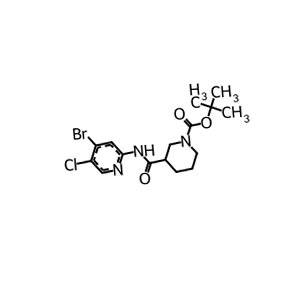 CC(C)(C)OC(=O)N1CCCC(C(=O)Nc2cc(Br)c(Cl)cn2)C1